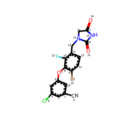 N#Cc1cc(Cl)cc(Oc2c(Br)ccc(CN3CC(=O)NC3=O)c2F)c1